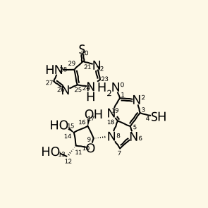 Nc1nc(S)c2ncn([C@@H]3O[C@H](CO)[C@@H](O)[C@H]3O)c2n1.S=c1nc[nH]c2nc[nH]c12